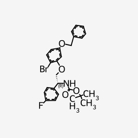 CC(C)(C)OC(=O)N[C@@H](COc1cc(OCc2ccccc2)ccc1Br)c1ccc(F)cc1